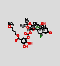 CC1(C)O[C@@H]2CC3C4C[C@H](F)C5=CC(=O)C=C[C@]5(C)[C@@]4(F)[C@@H](O)C[C@]3(C)[C@]2(C(=O)COC(=O)Oc2cc(C(=O)OCCCCO[N+](=O)[O-])cc(O)c2O)O1